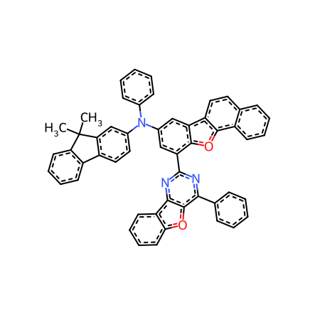 CC1(C)c2ccccc2-c2ccc(N(c3ccccc3)c3cc(-c4nc(-c5ccccc5)c5oc6ccccc6c5n4)c4oc5c6ccccc6ccc5c4c3)cc21